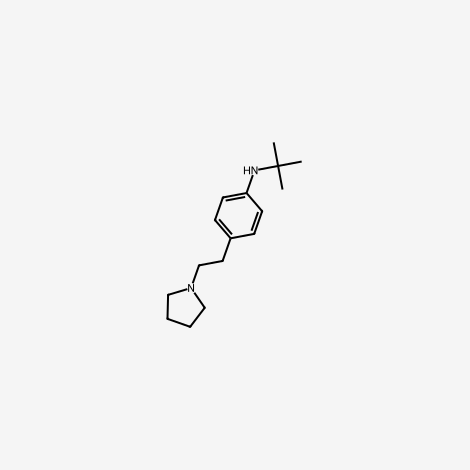 CC(C)(C)Nc1ccc(CCN2CCCC2)cc1